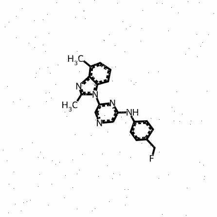 Cc1cccc2c1nc(C)n2-c1cncc(Nc2ccc(CF)cc2)n1